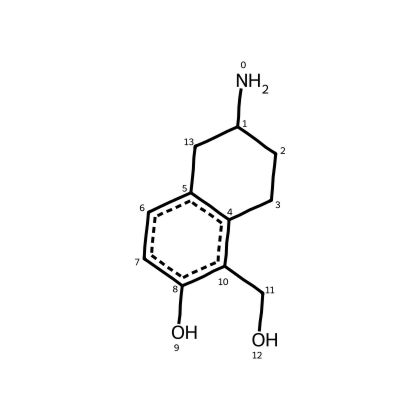 NC1CCc2c(ccc(O)c2CO)C1